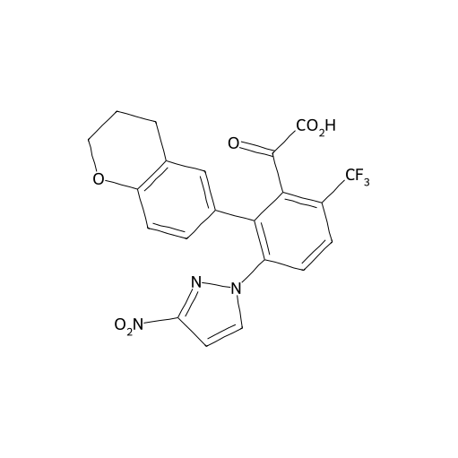 O=C(O)C(=O)c1c(C(F)(F)F)ccc(-n2ccc([N+](=O)[O-])n2)c1-c1ccc2c(c1)CCCO2